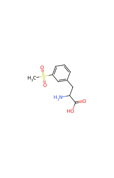 CS(=O)(=O)c1cccc(CC(N)C(=O)O)c1